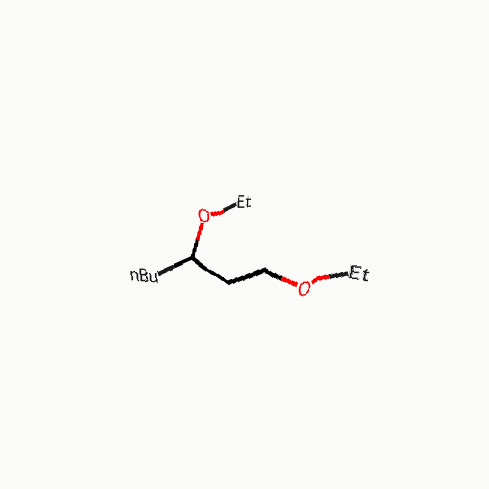 CCCCC(CCOCC)OCC